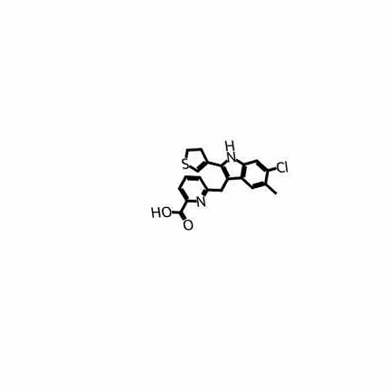 Cc1cc2c(Cc3cccc(C(=O)O)n3)c(C3=CSCC3)[nH]c2cc1Cl